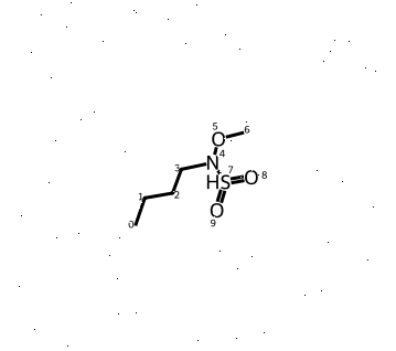 CCCCN(OC)[SH](=O)=O